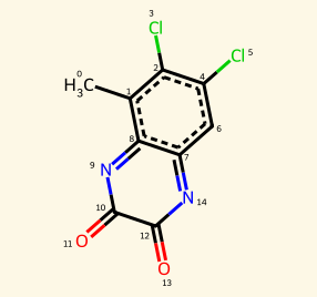 Cc1c(Cl)c(Cl)cc2c1=NC(=O)C(=O)N=2